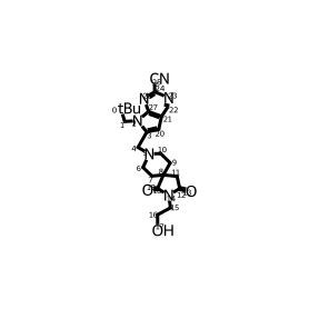 CC(C)(C)Cn1c(CN2CCC3(CC2)CC(=O)N(CCO)C3=O)cc2cnc(C#N)nc21